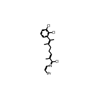 CC(=C\CC/C(C)=C(\C)c1cccc(Cl)c1Cl)/C(Cl)=N\C=C/C(C)C